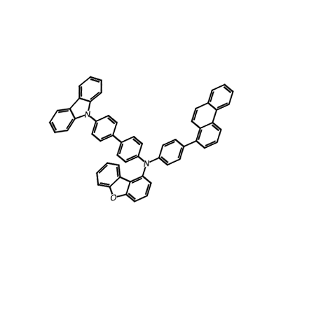 c1ccc2c(c1)ccc1c(-c3ccc(N(c4ccc(-c5ccc(-n6c7ccccc7c7ccccc76)cc5)cc4)c4cccc5oc6ccccc6c45)cc3)cccc12